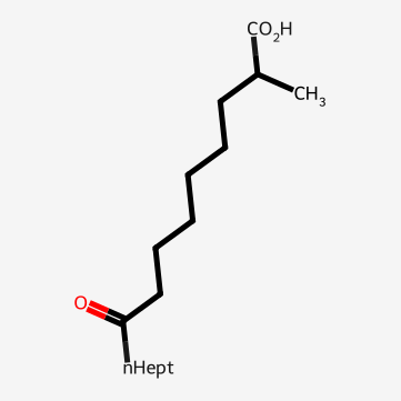 CCCCCCCC(=O)CCCCCCC(C)C(=O)O